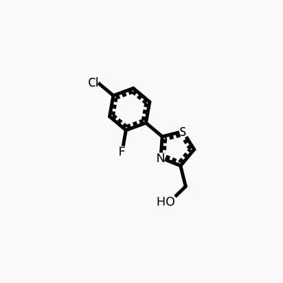 OCc1csc(-c2ccc(Cl)cc2F)n1